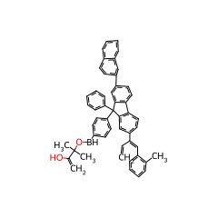 C=C/C(=C\c1ccccc1C)c1ccc2c(c1)C(c1ccccc1)(c1ccc(BOC(C)(C)C(=C)O)cc1)c1cc(-c3ccc4ccccc4c3)ccc1-2